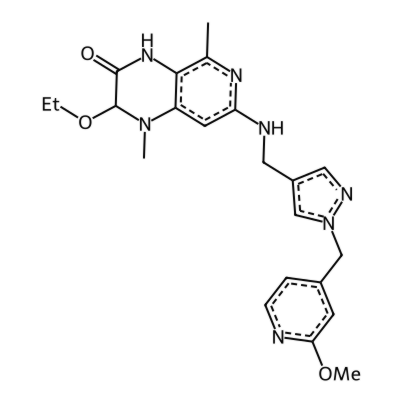 CCOC1C(=O)Nc2c(cc(NCc3cnn(Cc4ccnc(OC)c4)c3)nc2C)N1C